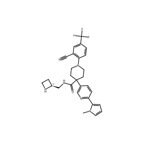 Cn1cccc1-c1ccc(C2(C(=O)NC[C@@H]3CCN3)CCN(c3ccc(C(F)(F)F)cc3C#N)CC2)cn1